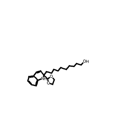 OCCCCCCCCCCC1(C2OCCO2)C=Cc2ccccc2N1